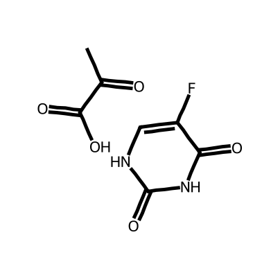 CC(=O)C(=O)O.O=c1[nH]cc(F)c(=O)[nH]1